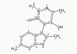 Cc1ccc2c(-c3c(O)c(C)nn(C)c3=O)c(C)oc2c1